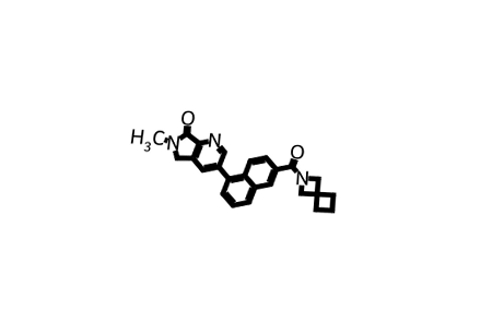 CN1Cc2cc(-c3cccc4cc(C(=O)N5CC6(CCC6)C5)ccc34)cnc2C1=O